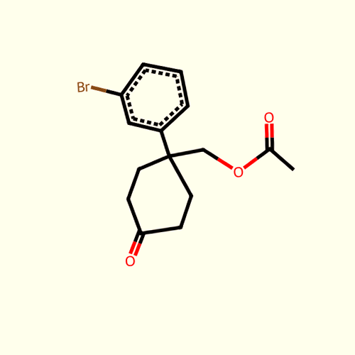 CC(=O)OCC1(c2cccc(Br)c2)CCC(=O)CC1